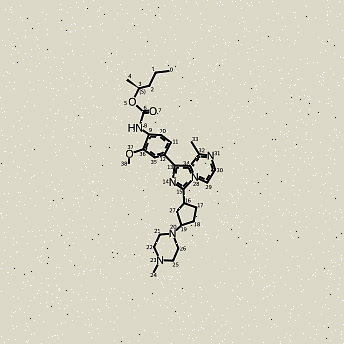 CCC[C@H](C)OC(=O)Nc1ccc(-c2nc(C3CCC(N4CCN(C)CC4)C3)n3ccnc(C)c23)cc1OC